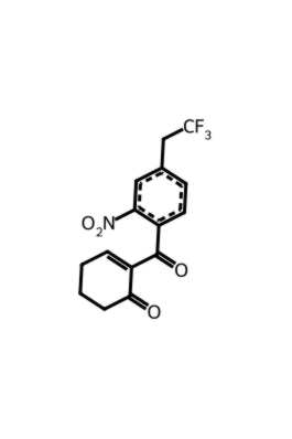 O=C1CCCC=C1C(=O)c1ccc(CC(F)(F)F)cc1[N+](=O)[O-]